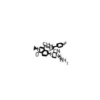 CN(c1nc(-c2ccc(F)cc2)c(C#N)s1)c1cn(C2CC2)c(=O)c2ccc(N3CCN(SN)CC3)cc12